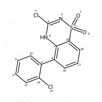 O=S1(=O)N=C(Cl)Nc2c(-c3ccccc3Cl)cccc21